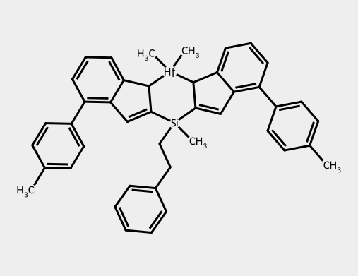 Cc1ccc(-c2cccc3c2C=C2[CH]3[Hf]([CH3])([CH3])[CH]3C(=Cc4c(-c5ccc(C)cc5)cccc43)[Si]2(C)CCc2ccccc2)cc1